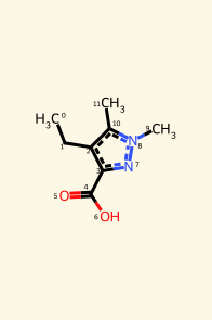 CCc1c(C(=O)O)nn(C)c1C